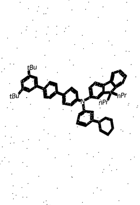 CCCC1(CCC)c2ccccc2-c2ccc(N(c3ccc(-c4ccc(-c5cc(C(C)(C)C)cc(C(C)(C)C)c5)cc4)cc3)c3cccc(C4CCCCC4)c3)cc21